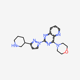 c1cnc2c(N3CCOCC3)nc(-n3ccc(C4CCCNC4)n3)nc2c1